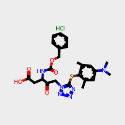 Cc1cc(N(C)C)cc(C)c1Sc1nnnn1CC(=O)C(CC(=O)O)NC(=O)OCc1ccccc1.Cl